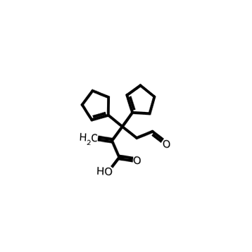 C=C(C(=O)O)C(CC=O)(C1=CCCC1)C1=CCCC1